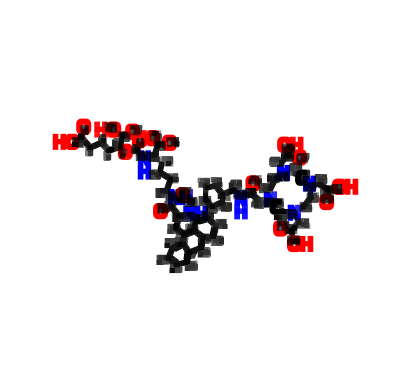 O=C(O)CCC[C@H](OC(=O)N[C@@H](CCCCNC(=O)[C@H](Cc1c2ccccc2cc2ccccc12)NC(=O)[C@H]1CC[C@H](CNC(=O)CN2CCN(CC(=O)O)CCN(CC(=O)O)CCN(CC(=O)O)CC2)CC1)C(=O)O)C(=O)O